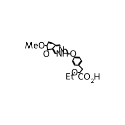 CCOC(Cc1ccc(OCCN2C=C3C=CC(OC)C(=O)C3=CN2)cc1)C(=O)O